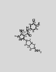 Cn1nc(C2CC3CC(N)CC3C2)c(C(=O)Nc2ccc(F)c(Cl)c2)c1N